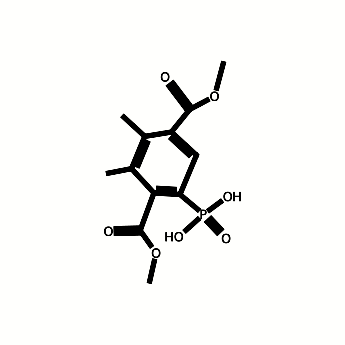 COC(=O)c1cc(P(=O)(O)O)c(C(=O)OC)c(C)c1C